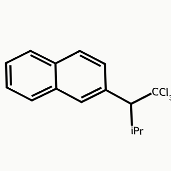 CC(C)C(c1ccc2ccccc2c1)C(Cl)(Cl)Cl